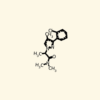 Cc1cn(C(C)C(=O)N(C)C)nc1-c1ccccc1Cl